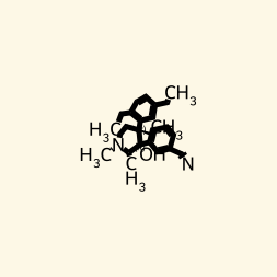 CCc1ccc(CC)c([C@@]2(CC)CCN(C)C(C)[C@@]2(O)c2cccc(C#N)c2)c1